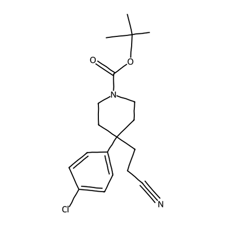 CC(C)(C)OC(=O)N1CCC(CCC#N)(c2ccc(Cl)cc2)CC1